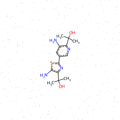 CC(C)(O)c1ncc(-c2nc(C(C)(C)O)c(N)s2)cc1N